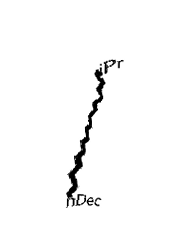 [CH2]CCCCCCCCCCCCCCCCCCCCCCCCCCC(C)C